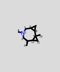 CC1CN(C)CC2CC2C2(C)CC12